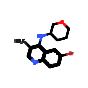 O=C(O)c1cnc2ccc(Br)cc2c1N[C@@H]1CCCOC1